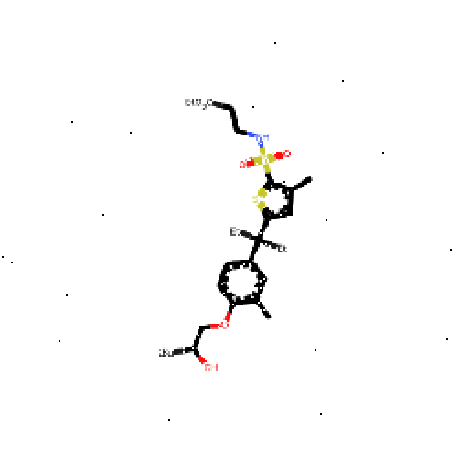 CCOC(=O)CCNS(=O)(=O)c1sc(C(CC)(CC)c2ccc(OCC(O)C(C)(C)C)c(C)c2)cc1C